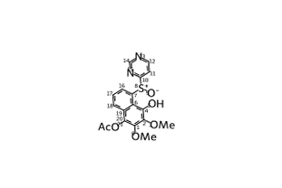 COc1c(OC)c(O)c2c([S+]([O-])c3ccncn3)cccc2c1OC(C)=O